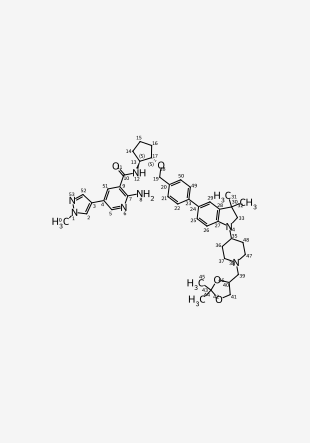 Cn1cc(-c2cnc(N)c(C(=O)N[C@H]3CCC[C@@H]3OCc3ccc(-c4ccc5c(c4)C(C)(C)CN5C4CCN(CC5COC(C)(C)O5)CC4)cc3)c2)cn1